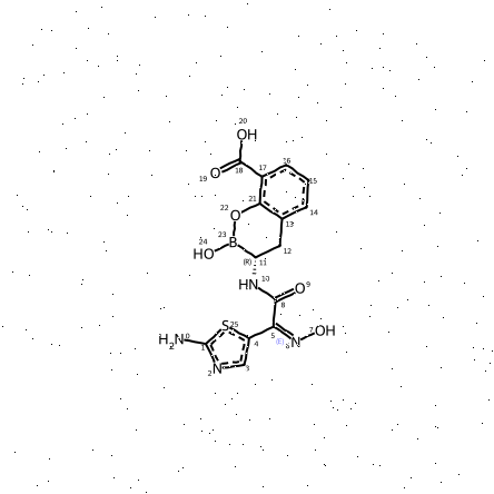 Nc1ncc(/C(=N/O)C(=O)N[C@H]2Cc3cccc(C(=O)O)c3OB2O)s1